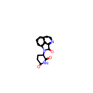 O=C1CCC(N2C(=O)c3nccc4cccc2c34)C(=O)N1